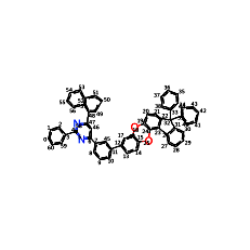 c1ccc(-c2nc(-c3cccc(-c4ccc5c(c4)Oc4ccc6c(c4O5)-c4ccccc4C6(c4ccccc4)c4ccccc4)c3)cc(-c3cccc4ccccc34)n2)cc1